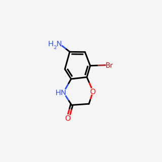 Nc1cc(Br)c2c(c1)NC(=O)CO2